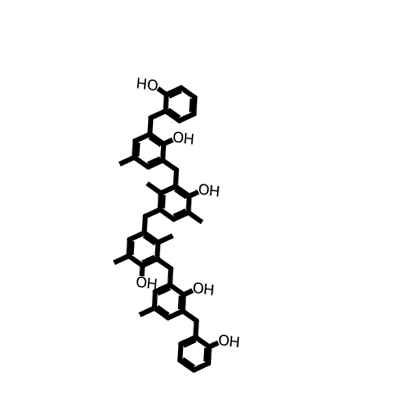 Cc1cc(Cc2ccccc2O)c(O)c(Cc2c(C)c(Cc3cc(C)c(O)c(Cc4cc(C)cc(Cc5ccccc5O)c4O)c3C)cc(C)c2O)c1